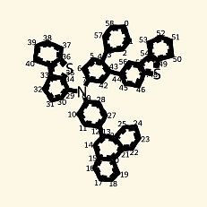 c1ccc(-c2ccc(N(c3ccc(-c4cc5ccccc5c5ccccc45)cc3)c3cccc4c3sc3ccccc34)cc2-c2ccc3sc4ccccc4c3c2)cc1